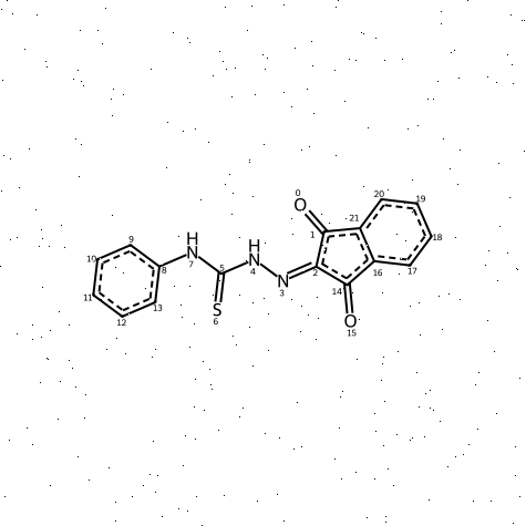 O=c1c(=NNC(=S)Nc2ccccc2)c(=O)c2ccccc12